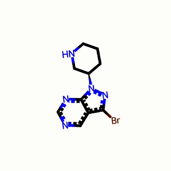 Brc1nn([C@@H]2CCCNC2)c2ncncc12